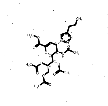 CCCc1cn([C@H]2C=C(C(=O)OC)O[C@@H]([C@H](OC(C)=O)[C@@H](COC(C)=O)OC(C)=O)[C@@H]2NC(C)=O)nn1